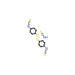 N=C=S.S=C=Nc1ccc(SSc2ccc(N=C=S)cc2)cc1